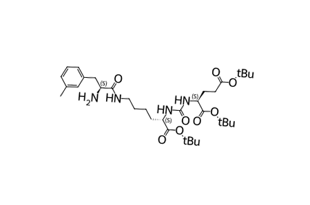 Cc1cccc(C[C@H](N)C(=O)NCCCC[C@H](NC(=O)N[C@@H](CCC(=O)OC(C)(C)C)C(=O)OC(C)(C)C)C(=O)OC(C)(C)C)c1